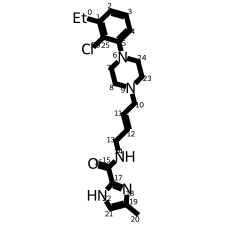 CCc1cccc(N2CCN(C/C=C/CNC(=O)c3nc(C)c[nH]3)CC2)c1Cl